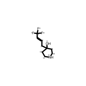 OC1(C/C=C/C(F)(F)F)CCNCC1